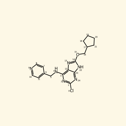 Clc1nc(NCc2ccncc2)c2nc(OCC3CCCC3)[nH]c2n1